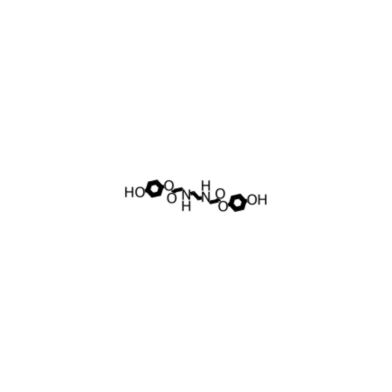 O=C(CNCCNCC(=O)Oc1ccc(O)cc1)Oc1ccc(O)cc1